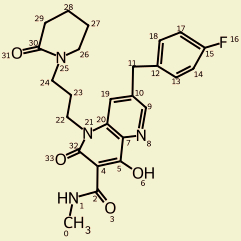 CNC(=O)c1c(O)c2ncc(Cc3ccc(F)cc3)cc2n(CCCN2CCCCC2=O)c1=O